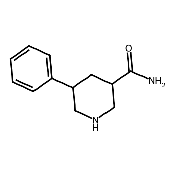 NC(=O)C1CNCC(c2ccccc2)C1